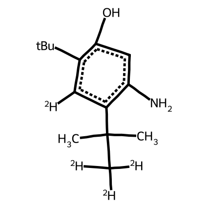 [2H]c1c(C(C)(C)C)c(O)cc(N)c1C(C)(C)C([2H])([2H])[2H]